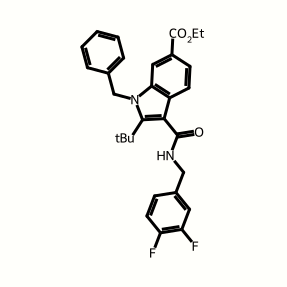 CCOC(=O)c1ccc2c(C(=O)NCc3ccc(F)c(F)c3)c(C(C)(C)C)n(Cc3ccccc3)c2c1